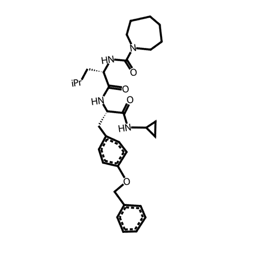 CC(C)C[C@H](NC(=O)N1CCCCCC1)C(=O)N[C@@H](Cc1ccc(OCc2ccccc2)cc1)C(=O)NC1CC1